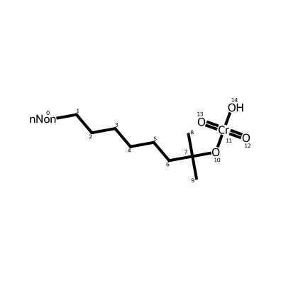 CCCCCCCCCCCCCCCC(C)(C)[O][Cr](=[O])(=[O])[OH]